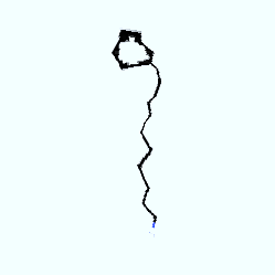 N[CH]CCCCCCCCc1ccccc1